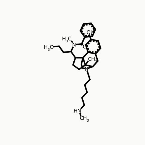 CCCC(C1CCC2(C)C3Cc4ccc(O)cc4C12CCN3CCCCCNC)N(C)C(=O)c1ccccc1